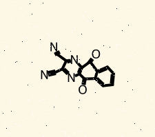 N#Cc1nc2c(nc1C#N)C(=O)c1ccccc1C2=O